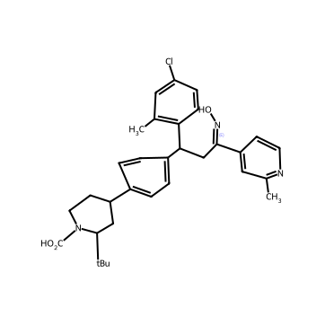 Cc1cc(/C(CC(c2ccc(C3CCN(C(=O)O)C(C(C)(C)C)C3)cc2)c2ccc(Cl)cc2C)=N/O)ccn1